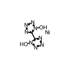 On1nnnc1-c1nnnn1O.[Ni]